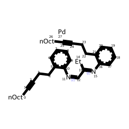 CCCCCCCCC#CCCc1ccccc1/N=C\C(CC)=N\c1ccccc1CCC#CCCCCCCCC.[Pd]